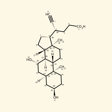 C#C[C@H](CCC(=O)O)[C@H]1CC[C@H]2[C@@H]3[C@@H](O)C[C@@H]4C[C@H](O)CC[C@]4(C)[C@H]3CC[C@]12C